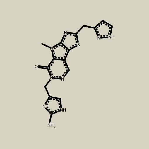 Cn1c2nc(Cc3cc[nH]n3)sc2c2cnn(Cc3c[nH]c(N)n3)c(=O)c21